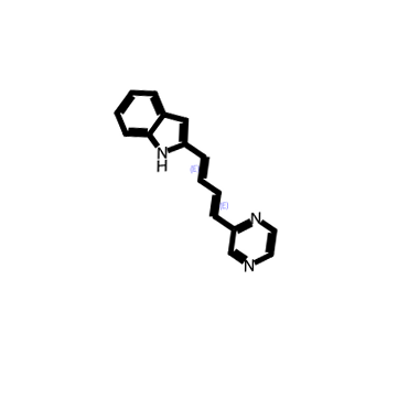 C(/C=C/c1cc2ccccc2[nH]1)=C\c1cnccn1